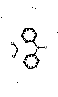 ClCCl.ClN(c1ccccc1)c1ccccc1